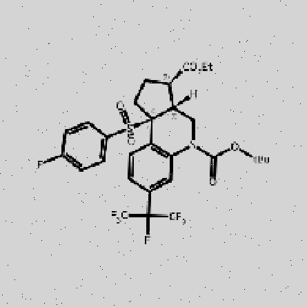 CCOC(=O)[C@@H]1CC[C@@]2(S(=O)(=O)c3ccc(F)cc3)c3ccc(C(F)(C(F)(F)F)C(F)(F)F)cc3N(C(=O)OC(C)(C)C)C[C@@H]12